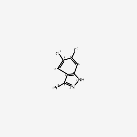 CC(C)c1n[nH]c2cc(F)c(Cl)cc12